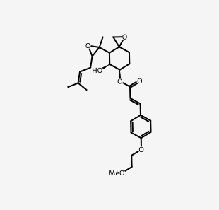 COCCOc1ccc(/C=C/C(=O)O[C@@H]2CCC3(CO3)C(C3(C)OC3CC=C(C)C)[C@@H]2O)cc1